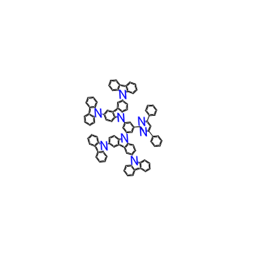 c1ccc(-c2cc(-c3ccccc3)nc(-c3cc(-n4c5ccc(-n6c7ccccc7c7ccccc76)cc5c5cc(-n6c7ccccc7c7ccccc76)ccc54)cc(-n4c5ccc(-n6c7ccccc7c7ccccc76)cc5c5cc(-n6c7ccccc7c7ccccc76)ccc54)c3)n2)cc1